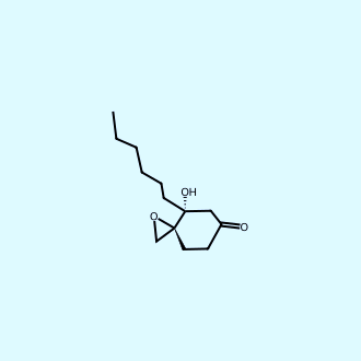 CCCCCC[C@@]1(O)CC(=O)CC[C@]12CO2